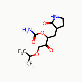 NC(=O)OC(CC1CCNC1=O)C(=O)COC(C(F)(F)F)C(F)(F)F